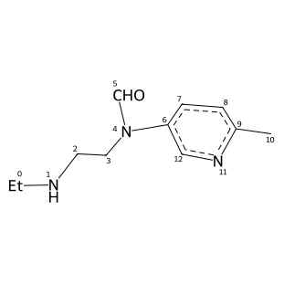 CCNCCN(C=O)c1ccc(C)nc1